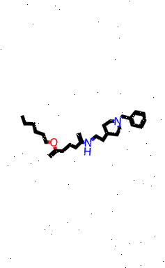 C=C(CCCC(=C)OCCCCCC)NCCC1CCN(Cc2ccccc2)CC1